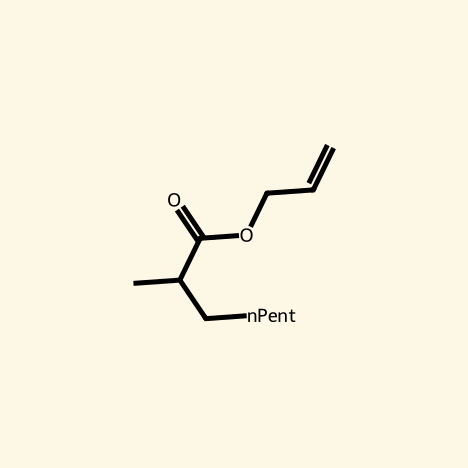 C=CCOC(=O)C(C)CCCCCC